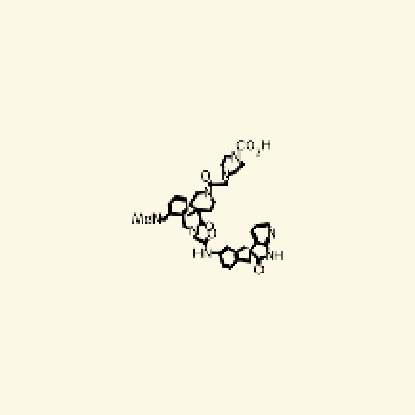 CNCc1ccccc1CN(CC(=O)Nc1ccc2c(c1)C[C@@]1(C2)C(=O)Nc2ncccc21)C(=O)C1(C)CCN(C(=O)CN2CCN(C(=O)O)CC2)CC1